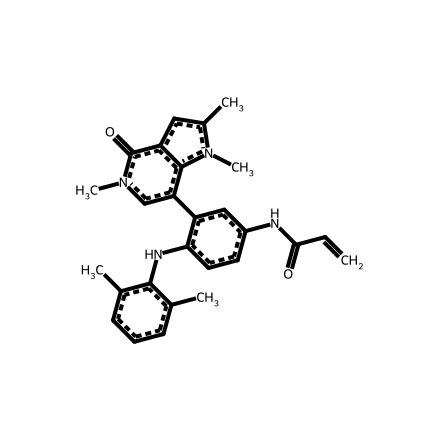 C=CC(=O)Nc1ccc(Nc2c(C)cccc2C)c(-c2cn(C)c(=O)c3cc(C)n(C)c23)c1